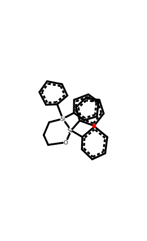 c1ccc([Si]2(c3ccccc3)CCCO[Si]2(c2ccccc2)c2ccccc2)cc1